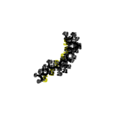 Cc1sc2c(c1C)C(C)(C)c1c-2sc(-c2sc3c(c2C)C(C)(C)c2c-3sc(-c3sc4c(c3C)C(C)(C)C(C)(C)c3c-4sc(C)c3C)c2C)c1C